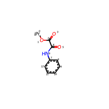 CC(C)OC(=O)C(=O)Nc1ccccc1